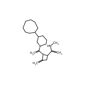 C=C(NC)C1CC(=C)N1C(=C)N1CCCC(C2CCCCCCC2)C1